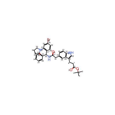 CC(C)(C)OC(=O)CCc1c[nH]c2ccc(CC(=O)NC(c3ccccc3)c3ccc(Br)cc3N3CCCC3)cc12